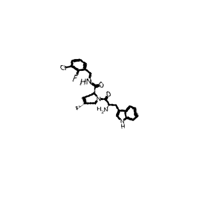 N[C@@H](Cc1c[nH]c2ccccc12)C(=O)N1C[C@H](F)C[C@H]1C(=O)NCc1cccc(Cl)c1F